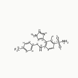 Cc1c(S(N)(=O)=O)ccc(NCc2ccc(C(F)(F)F)cc2)c1-c1cn(C)nn1